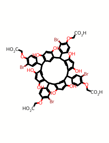 O=C(O)COc1ccc(C2c3cc(c(O)cc3O)C(c3ccc(OCC(=O)O)c(Br)c3)c3cc(c(O)cc3O)C(c3ccc(OCC(=O)O)c(Br)c3)c3cc(c(O)cc3O)C(c3ccc(OCC(=O)O)c(Br)c3)c3cc2c(O)cc3O)cc1Br